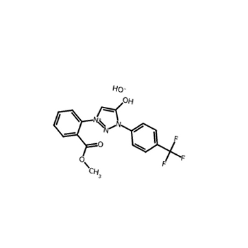 COC(=O)c1ccccc1-[n+]1cc(O)n(-c2ccc(C(F)(F)F)cc2)n1.[OH-]